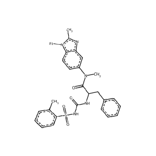 CCn1c(C)nc2cc(N(C)C(=O)C(Cc3ccccc3)NC(=O)NS(=O)(=O)c3ccccc3C)ccc21